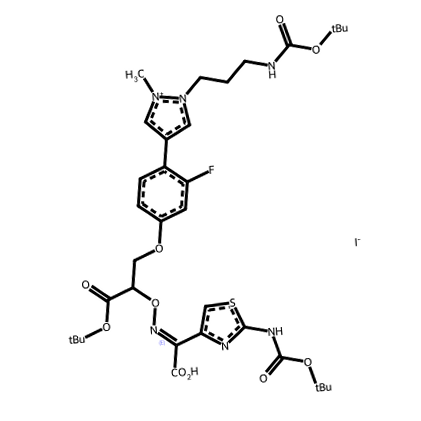 C[n+]1cc(-c2ccc(OCC(O/N=C(/C(=O)O)c3csc(NC(=O)OC(C)(C)C)n3)C(=O)OC(C)(C)C)cc2F)cn1CCCNC(=O)OC(C)(C)C.[I-]